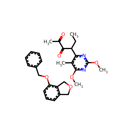 CCC(C(=O)C(C)=O)c1nc(OC)nc(OC)c1C.c1ccc(COc2cccc3c2COC3)cc1